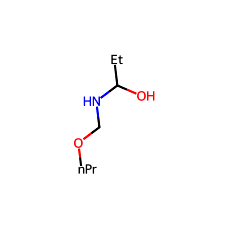 CCCOCNC(O)CC